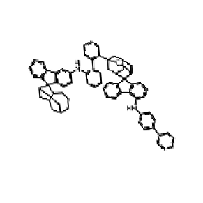 c1ccc(-c2ccc(Nc3cccc4c3-c3ccccc3C43C4CCC5(c6ccccc6-c6ccccc6Nc6ccc7c(c6)-c6ccccc6C76C7CC8CCCC6C(C8)C7)CC(C4)CC3C5)cc2)cc1